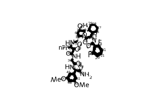 CCCC(NC(=O)[C@@H]1C[C@@H](O)CN1C(=O)[C@@H](NC(=O)c1c(F)cccc1F)C1CCCCC1)C(=O)C(=O)NCC(=O)NC(C(N)=O)c1cc(OC)cc(OC)c1